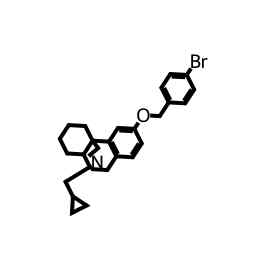 Brc1ccc(COc2ccc3c(c2)C24CCCCC2C(C3)N(CC2CC2)CC4)cc1